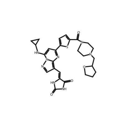 O=C1NC(=O)/C(=C/c2cnn3c(NC4CC4)cc(-c4ccc(C(=O)N5CCN(CC6CCCO6)CC5)s4)nc23)N1